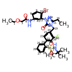 CCOCC(=O)Nc1ccc(Br)c(-n2nc(CC)n(Cc3ccc(-c4ccccc4S(=O)(=O)NC(C)(C)C)cc3F)c2=O)c1